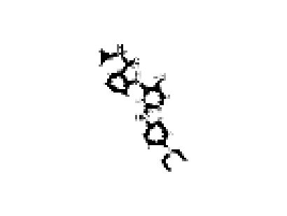 CCN(CC)c1ccc(Nc2ncc(Cl)c(Nc3ccccc3C(=O)NC3CC3)n2)cc1